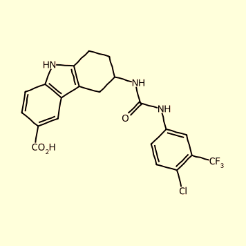 O=C(Nc1ccc(Cl)c(C(F)(F)F)c1)NC1CCc2[nH]c3ccc(C(=O)O)cc3c2C1